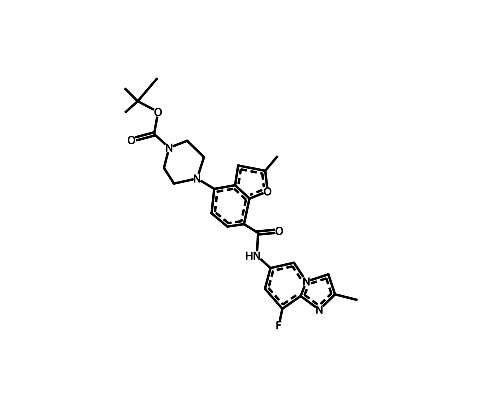 Cc1cn2cc(NC(=O)c3ccc(N4CCN(C(=O)OC(C)(C)C)CC4)c4cc(C)oc34)cc(F)c2n1